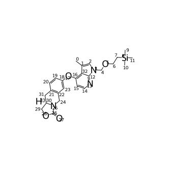 Cc1cn(COCC[Si](C)(C)C)c2nccc(Oc3ccc4c(c3)CN3C(=O)OC[C@H]3C4)c12